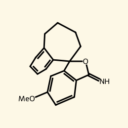 COc1ccc2c(c1)C1(CCCCc3ccccc31)OC2=N